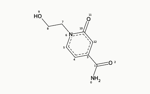 NC(=O)c1ccn(CCO)c(=O)c1